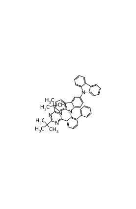 CC(C)(C)c1nc(-c2cccc(-c3ccccc3)c2-n2c3ccccc3c3cc(-n4c5ccccc5c5ccccc54)ccc32)nc(C(C)(C)C)n1